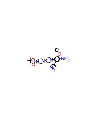 Cn1cc(-c2cc(N)c(OC3CCC3)cc2N2CCC(N3CCN(C(=O)OC(C)(C)C)CC3)CC2)cn1